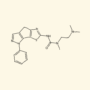 CN(C)CCN(C)C(=O)Nc1nc2c(s1)-c1c(cnn1-c1ccccc1)C2